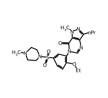 CCCc1nn(C)c2c(=O)n(-c3cc(S(=O)(=O)N4CCN(C)CC4)ccc3OCC)cnc12